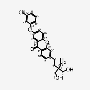 NC(CO)(CO)CCc1ccc2c(=O)c3cc(Oc4cccc(Cl)c4)ccc3oc2c1